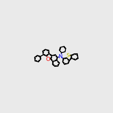 C1=CCC(N(c2cc3c4cccc(-c5ccccc5)c4oc3c3ccccc23)c2cccc3c2sc2ccccc23)C=C1